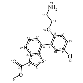 COC(=O)c1csc2c(-c3cc(Cl)ccc3OCCN)ccnc12